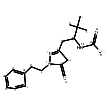 CC(C)(C)C(CC1=NN(CCc2ccccc2)C(=O)C1)NC(=O)O